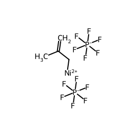 C=C(C)[CH2][Ni+2].F[P-](F)(F)(F)(F)F.F[P-](F)(F)(F)(F)F